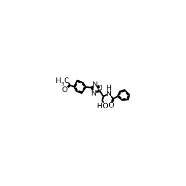 CC(=O)c1ccc(-c2noc(C(CO)NC(=O)c3ccccc3)n2)cc1